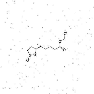 O=C(CCCC[C@@H]1CC[S+]([O-])S1)OCCl